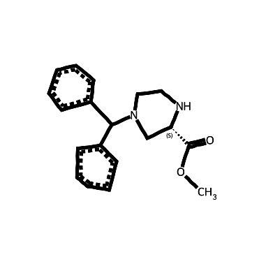 COC(=O)[C@@H]1CN(C(c2ccccc2)c2ccccc2)CCN1